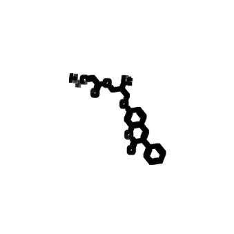 C=CC(=O)OCC(CC)COc1ccc2cc(-c3ccccc3)c(=O)oc2c1